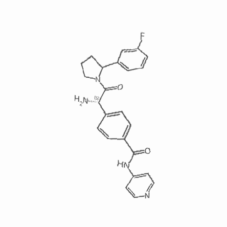 N[C@H](C(=O)N1CCCC1c1cccc(F)c1)c1ccc(C(=O)Nc2ccncc2)cc1